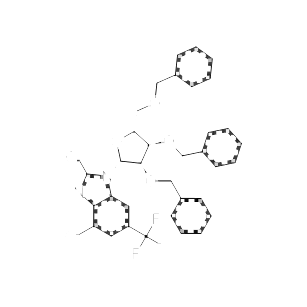 FC(F)(F)c1cc(Cl)c2nc(Cl)n([C@@H]3O[C@H](COCc4ccccc4)[C@@H](OCc4ccccc4)[C@H]3OCc3ccccc3)c2c1